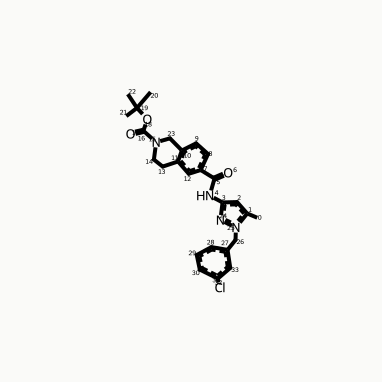 Cc1cc(NC(=O)c2ccc3c(c2)CCN(C(=O)OC(C)(C)C)C3)nn1Cc1cccc(Cl)c1